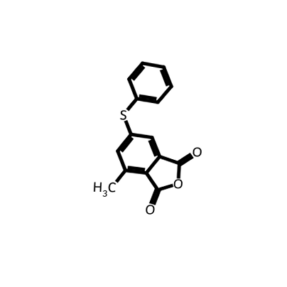 Cc1cc(Sc2ccccc2)cc2c1C(=O)OC2=O